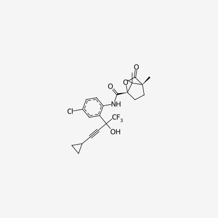 CC1(C)[C@@]2(C)CC[C@]1(C(=O)Nc1ccc(Cl)cc1C(O)(C#CC1CC1)C(F)(F)F)OC2=O